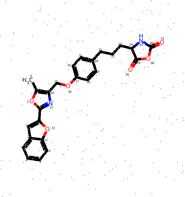 Cc1oc(-c2cc3ccccc3o2)nc1COc1ccc(CCCC2NC(=O)OC2=O)cc1